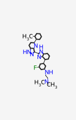 Cc1ccccc1-c1ccc2[nH]nc(-c3nc4c(-c5cc(F)cc(NCCN(C)C)c5)cccc4[nH]3)c2n1